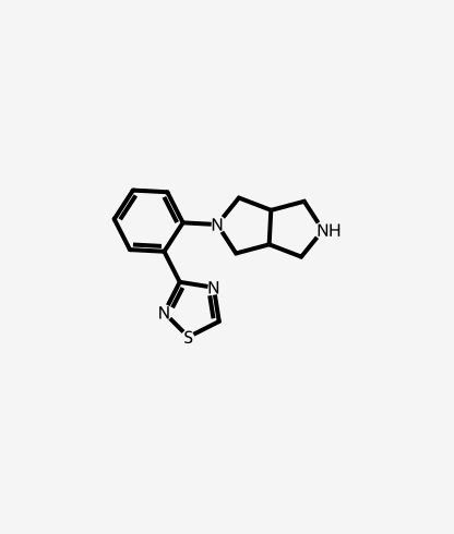 c1ccc(N2CC3CNCC3C2)c(-c2ncsn2)c1